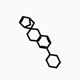 C1=CC2CC1CC21CCc2cc(C3CCCCC3)ccc2C1